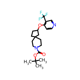 CC(C)(C)OC(=O)N1CCC2(CCC(Oc3ccncc3C(F)(F)F)C2)CC1